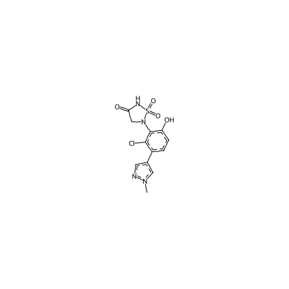 Cn1cc(-c2ccc(O)c(N3CC(=O)NS3(=O)=O)c2Cl)cn1